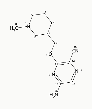 CN1CCCC(COc2nc(N)cnc2C#N)C1